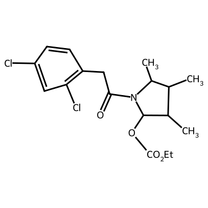 CCOC(=O)OC1C(C)C(C)C(C)N1C(=O)Cc1ccc(Cl)cc1Cl